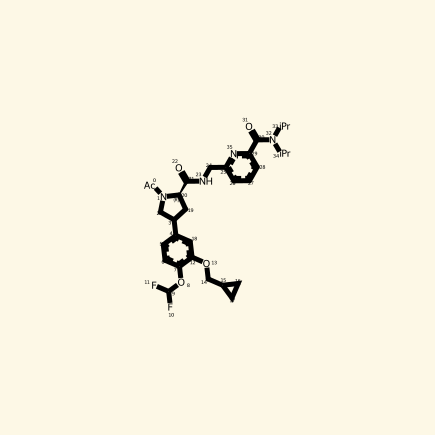 CC(=O)N1CC(c2ccc(OC(F)F)c(OCC3CC3)c2)C[C@@H]1C(=O)NCc1cccc(C(=O)N(C(C)C)C(C)C)n1